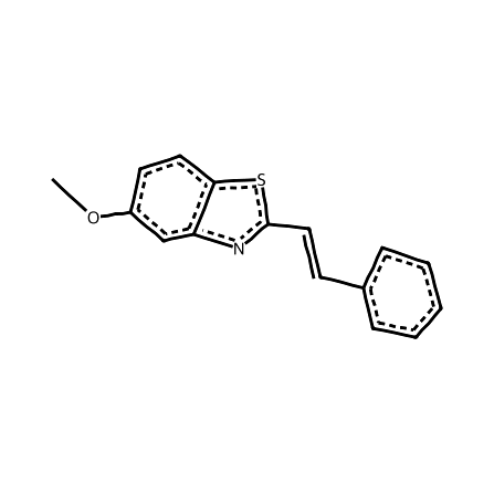 COc1ccc2sc(C=Cc3ccccc3)nc2c1